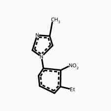 CCc1cccc(-n2cnc(C)c2)c1[N+](=O)[O-]